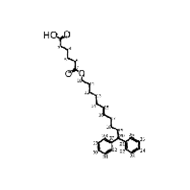 O=C(O)CCCCC(=O)OCCCCCCCCCCC(c1ccccc1)c1ccccc1